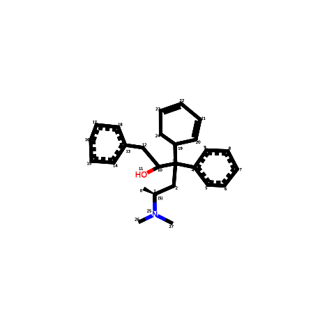 C[C@@H](CC(c1ccccc1)(C(O)Cc1ccccc1)C1C=CC=CC1)N(C)C